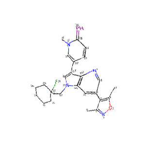 Cc1noc(C)c1-c1cnc2c(-c3ccc(=P)n(C)c3)cn(CC3(F)CCCCC3)c2c1